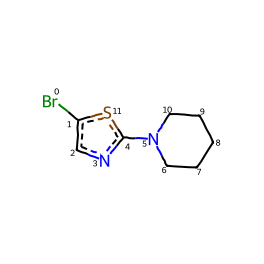 Brc1cnc(N2CCCCC2)s1